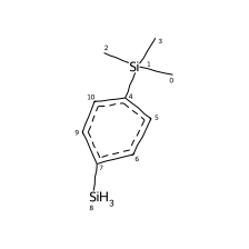 C[Si](C)(C)c1ccc([SiH3])cc1